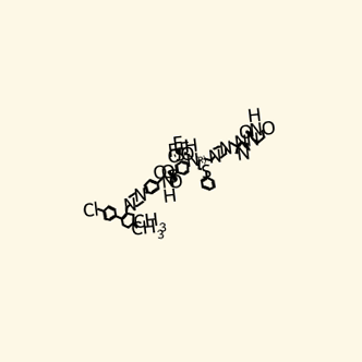 CC1(C)CCC(c2ccc(Cl)cc2)=C(CN2CCN(c3ccc(C(=O)NS(=O)(=O)c4ccc(N[C@H](CCN5CCN(Cc6cncc(N7CCC(=O)NC7=O)n6)CC5)CSc5ccccc5)c(S(=O)(=O)C(F)(F)F)c4)cc3)CC2)C1